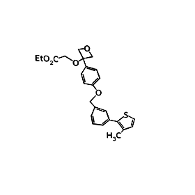 CCOC(=O)COC1(c2ccc(OCc3cccc(-c4sccc4C)c3)cc2)COC1